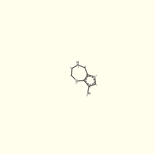 CC(C)c1csc2c1OCCNC2